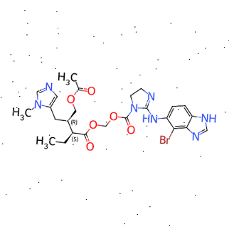 CC[C@H](C(=O)OCOC(=O)N1CCN=C1Nc1ccc2[nH]cnc2c1Br)[C@H](COC(C)=O)Cc1cncn1C